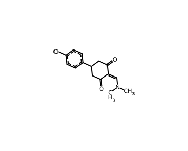 CN(C)C=C1C(=O)CC(c2ccc(Cl)cc2)CC1=O